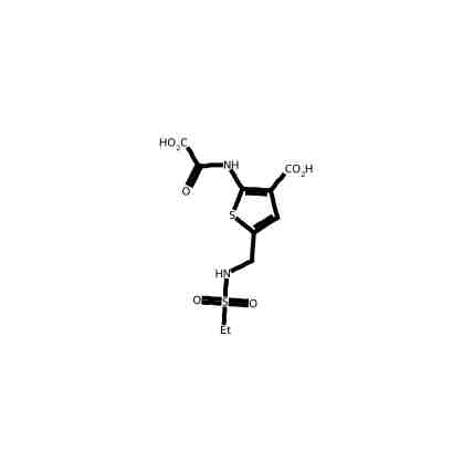 CCS(=O)(=O)NCc1cc(C(=O)O)c(NC(=O)C(=O)O)s1